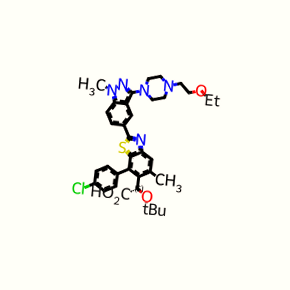 CCOCCN1CCN(c2nn(C)c3ccc(-c4nc5cc(C)c([C@H](OC(C)(C)C)C(=O)O)c(-c6ccc(Cl)cc6)c5s4)cc23)CC1